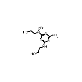 CCCN(CCO)c1nc(N)nc(NCCO)n1